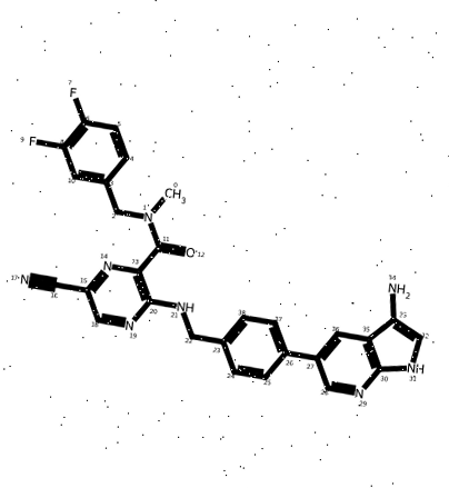 CN(Cc1ccc(F)c(F)c1)C(=O)c1nc(C#N)cnc1NCc1ccc(-c2cnc3[nH]cc(N)c3c2)cc1